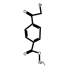 NOC(=O)c1ccc(C(=O)CBr)cc1